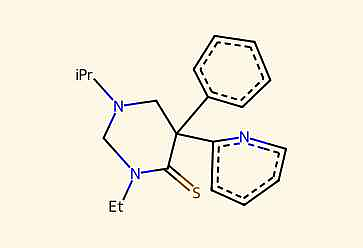 CCN1CN(C(C)C)CC(c2ccccc2)(c2ccccn2)C1=S